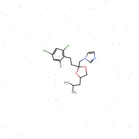 CC(C)CC1COC(CCc2c(Cl)cc(Cl)cc2Cl)(Cn2ccnc2)O1